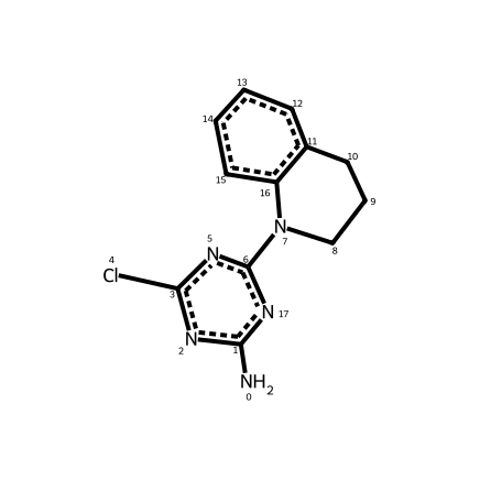 Nc1nc(Cl)nc(N2CCCc3ccccc32)n1